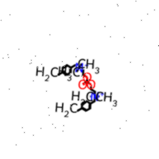 C=Cc1ccc(C[N+](C)(C)CCOC(=O)OCC[N+](C)(C)Cc2ccc(C=C)cc2)cc1